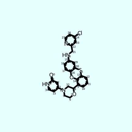 O=c1cc(N2CCOC(c3cccc4c3Oc3ccc(NCc5cc(Cl)ccn5)cc3S4)C2)cc[nH]1